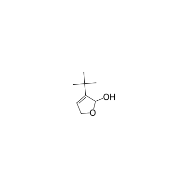 CC(C)(C)C1=CCOC1O